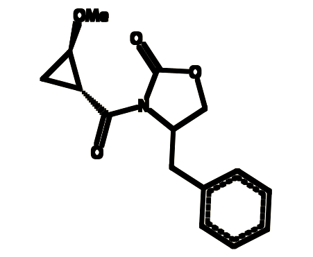 CO[C@@H]1C[C@H]1C(=O)N1C(=O)OCC1Cc1ccccc1